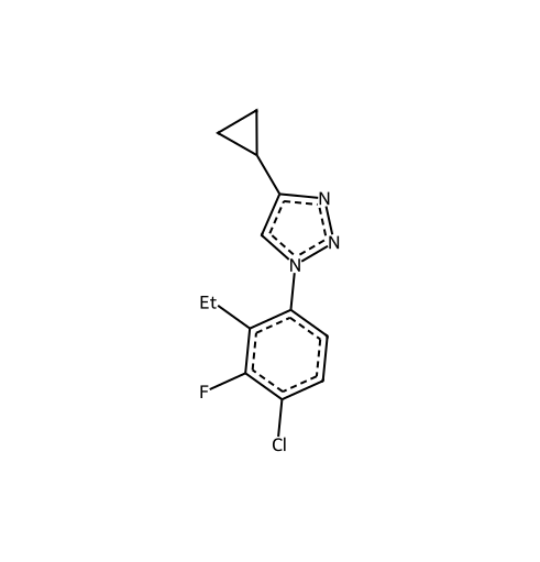 CCc1c(-n2cc(C3CC3)nn2)ccc(Cl)c1F